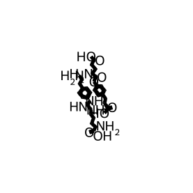 N=C(N)NCCC[C@@H](N)C(=O)O.NCCc1ccccc1.N[C@H](CCC(=O)O)C(=O)Oc1ccc(CCC(=O)O)cc1